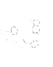 O=C(O)c1ccc(C2=CCC(N3CCCC3c3ccccc3C3CC3)CC2)cc1Oc1cnc2[nH]ccc2c1